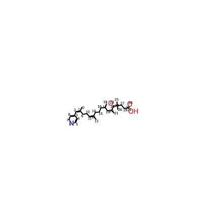 CC(=Cc1ccncc1)CCC=C(C)CCCC(C)CC(C)C(=O)C(C)(C)CCC(=O)O